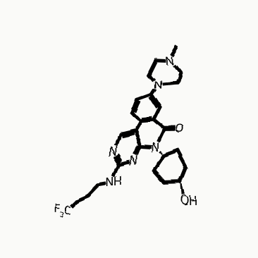 CN1CCN(c2ccc3c(c2)c(=O)n([C@H]2CC[C@H](O)CC2)c2nc(NCCCC(F)(F)F)ncc32)CC1